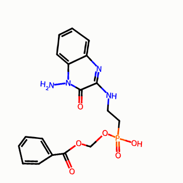 Nn1c(=O)c(NCCP(=O)(O)OCOC(=O)c2ccccc2)nc2ccccc21